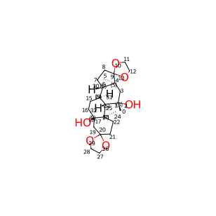 C[C@]1(O)C[C@@]2(C)[C@@H](CCC23OCCO3)[C@@H]2CC[C@@]3(O)CC4(CC[C@]3(C)[C@H]21)OCCO4